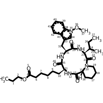 CCCOC(=O)CCCCC[C@@H]1NC(=O)[C@H]2CCCCN2C(=O)[C@H](C(C)CC)NC(=O)[C@H](Cc2cn(OC)c3ccccc23)NC1=O